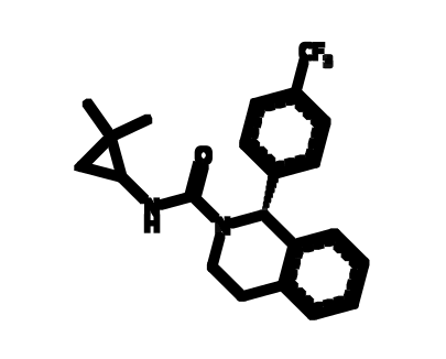 CC1(C)CC1NC(=O)N1CCc2ccccc2[C@H]1c1ccc(C(F)(F)F)cc1